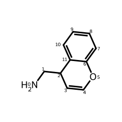 NCC1C=COc2ccccc21